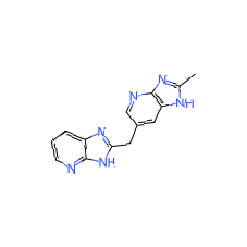 Cc1nc2ncc(Cc3nc4cccnc4[nH]3)cc2[nH]1